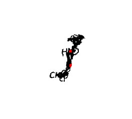 C=CCOc1ccc(CCC(=O)NN2CCN(c3ccc(OC[C@@H]4CO[C@](C)(c5ccc(Cl)cc5Cl)O4)cc3)CC2)cc1OCC=C